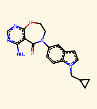 Nc1ncnc2c1C(=O)N(c1ccc3c(ccn3CC3CC3)c1)CCO2